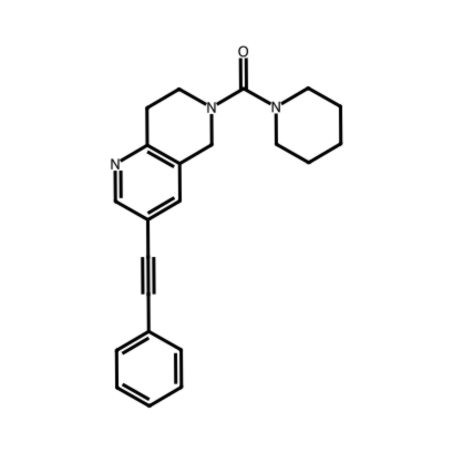 O=C(N1CCCCC1)N1CCc2ncc(C#Cc3ccccc3)cc2C1